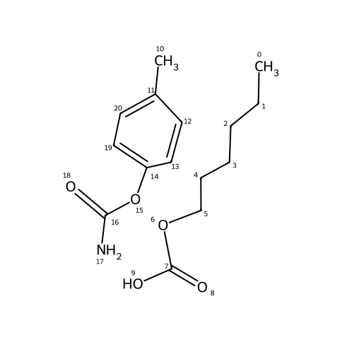 CCCCCCOC(=O)O.Cc1ccc(OC(N)=O)cc1